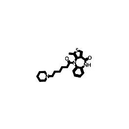 Cc1scc2c1N(C(=O)CCCCCN1CCCCC1)c1ccccc1NC2=O